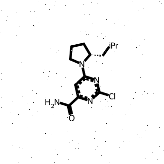 CC(C)C[C@H]1CCCN1c1cc(C(N)=O)nc(Cl)n1